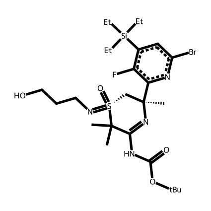 CC[Si](CC)(CC)c1cc(Br)nc([C@]2(C)C[S@@](=O)(=NCCCO)C(C)(C)C(NC(=O)OC(C)(C)C)=N2)c1F